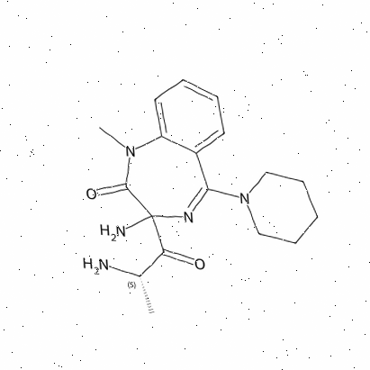 C[C@H](N)C(=O)C1(N)N=C(N2CCCCC2)c2ccccc2N(C)C1=O